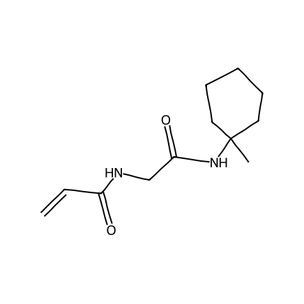 C=CC(=O)NCC(=O)NC1(C)CCCCC1